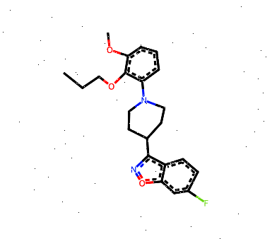 CCCOc1c(OC)[c]ccc1N1CCC(c2noc3cc(F)ccc23)CC1